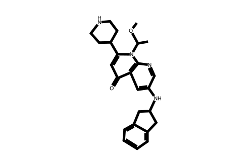 COC(C)n1c(C2CCNCC2)cc(=O)c2cc(NC3Cc4ccccc4C3)cnc21